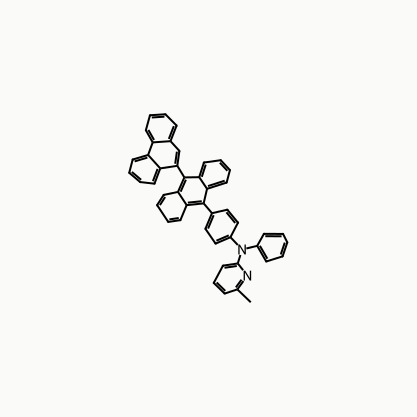 Cc1cccc(N(c2ccccc2)c2ccc(-c3c4ccccc4c(-c4cc5ccccc5c5ccccc45)c4ccccc34)cc2)n1